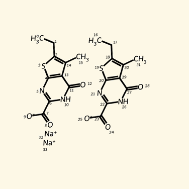 CCc1sc2nc(C(=O)[O-])[nH]c(=O)c2c1C.CCc1sc2nc(C(=O)[O-])[nH]c(=O)c2c1C.[Na+].[Na+]